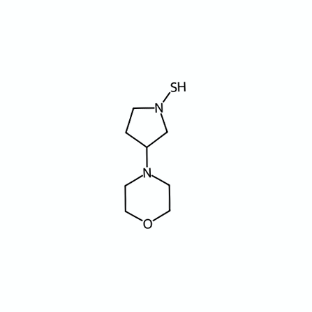 SN1CCC(N2CCOCC2)C1